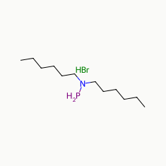 Br.CCCCCCN(P)CCCCCC